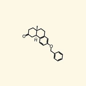 C[C@]12CCC(=O)C[C@@H]1c1ccc(OCc3ccccc3)cc1CC2